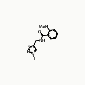 CNc1ccccc1C(=O)NCc1cn(I)nn1